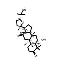 CC(C)(O)[C@H]1CC[C@@](C)([C@H]2CC[C@]3(C)[C@@H]2C(=O)C[C@@H]2[C@@]4(C)CCC(=O)C(C)(C)[C@@H]4[C@@H](O)C[C@]23C)O1